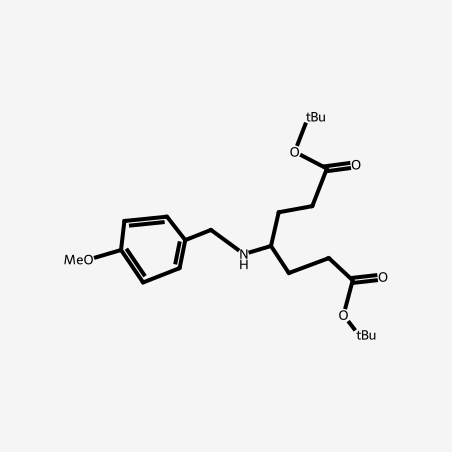 COc1ccc(CNC(CCC(=O)OC(C)(C)C)CCC(=O)OC(C)(C)C)cc1